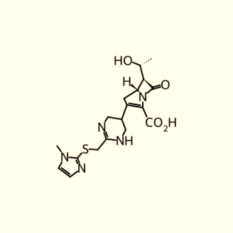 C[C@@H](O)[C@H]1C(=O)N2C(C(=O)O)=C(C3CN=C(CSc4nccn4C)NC3)C[C@H]12